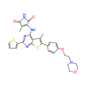 CC1=C(Nc2nc(-c3cccs3)nc3sc(-c4ccc(OCCN5CCOCC5)cc4)c(C)c23)C(=O)NC1=O